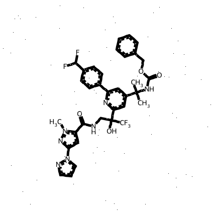 Cn1nc(-n2cccn2)cc1C(=O)NCC(O)(c1cc(C(C)(C)NC(=O)OCc2ccccc2)cc(-c2ccc(C(F)F)cc2)n1)C(F)(F)F